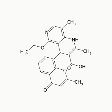 CCOc1ncc(C)c2c1C(c1cccc3c(=O)cc(C)oc13)C(C(=O)O)=C(C)N2